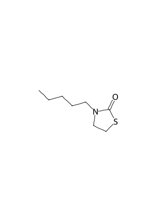 CCCCCN1CCSC1=O